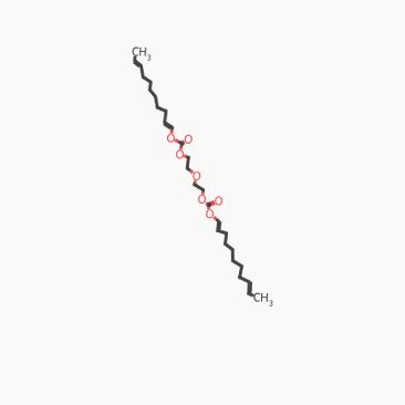 C/C=C/CCCCCC/C=C/OC(=O)OCCOCCOC(=O)O/C=C/CCCCCC/C=C/C